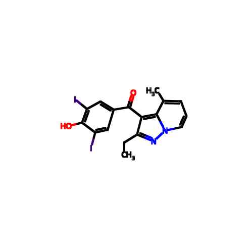 CCc1nn2cccc(C)c2c1C(=O)c1cc(I)c(O)c(I)c1